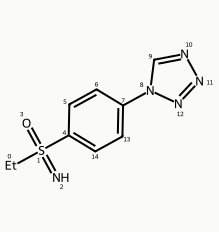 CCS(=N)(=O)c1ccc(-n2cnnn2)cc1